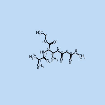 CCOC(=O)C(NC(=O)C(C)C)C(C)SC(=O)CC(=O)OC